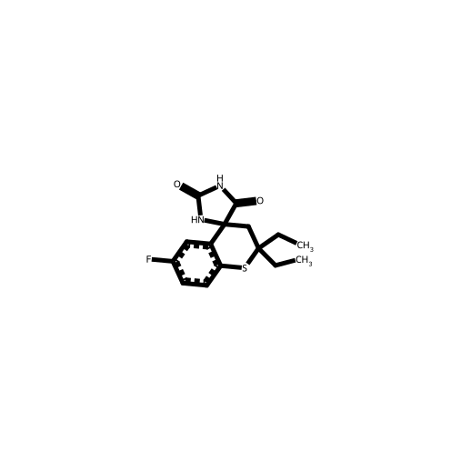 CCC1(CC)CC2(NC(=O)NC2=O)c2cc(F)ccc2S1